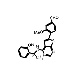 COc1cc(C=O)ccc1-c1cc2c(N[C@@H](C)c3ccccc3O)ncnc2s1